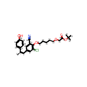 C[C@H](Cc1cc(Cl)c(OCCCCCOCC(=O)OC(C)(C)C)c(C#N)c1)c1ccc(O)cc1